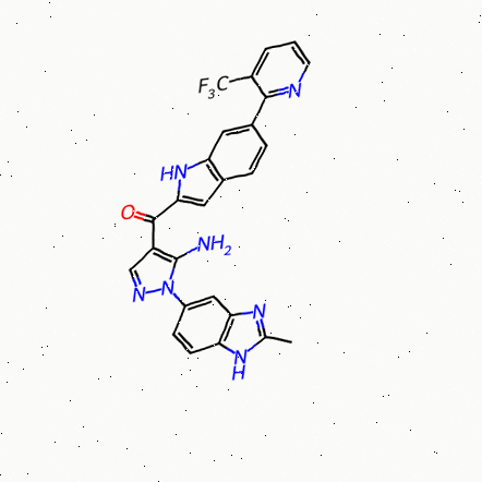 Cc1nc2cc(-n3ncc(C(=O)c4cc5ccc(-c6ncccc6C(F)(F)F)cc5[nH]4)c3N)ccc2[nH]1